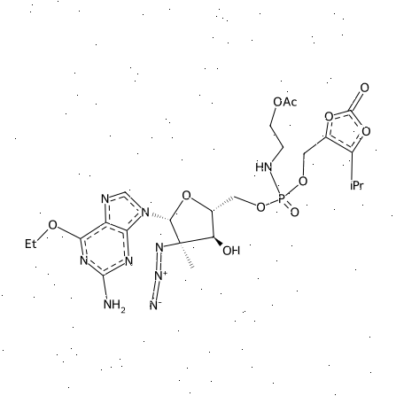 CCOc1nc(N)nc2c1ncn2[C@@H]1O[C@H](COP(=O)(NCCOC(C)=O)OCc2oc(=O)oc2C(C)C)[C@@H](O)[C@@]1(C)N=[N+]=[N-]